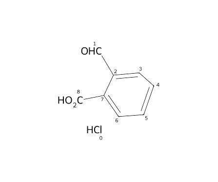 Cl.O=Cc1ccccc1C(=O)O